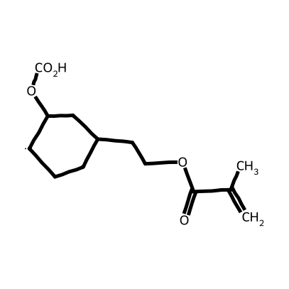 C=C(C)C(=O)OCCC1CC[CH]C(OC(=O)O)C1